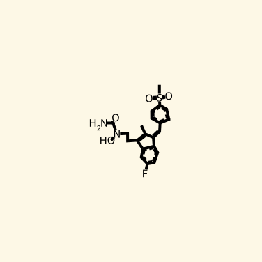 CC1=C(CCN(O)C(N)=O)c2cc(F)ccc2C1=Cc1ccc(S(C)(=O)=O)cc1